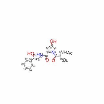 CC(=O)NC(C(=O)N1C[C@H](O)C[C@H]1C(=O)NCC(O)c1ccccc1)C(C)(C)C